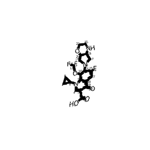 O=C(O)c1cn(C2CC2)c2c(OC(F)F)c(N3CC4NCCOC4C3)c(F)cc2c1=O